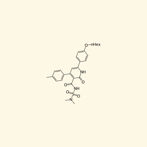 CCCCCCOc1ccc(-c2cc(-c3ccc(C)cc3)c(C(=O)NS(=O)(=O)N(C)C)c(=O)[nH]2)cc1